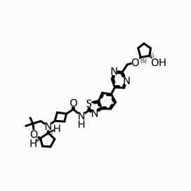 CC1(C)CN(C2CC(C(=O)Nc3nc4ccc(-c5cnc(CO[C@H]6CCC[C@@H]6O)nc5)cc4s3)C2)[C@@H]2CCC[C@H]2O1